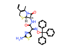 C=CC1=C(C)N2C(=O)[C@@H](NC(=O)C(=NOC(c3ccccc3)(c3ccccc3)c3ccccc3)c3csc(N)n3)[C@H]2SC1